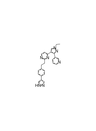 CCn1cc(-c2ccnc(CCc3ccc(-c4cn[nH]c4)cc3)n2)c(-c2cccnc2)n1